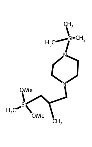 CO[Si](C)(CC(C)CN1CCN([Si](C)(C)C)CC1)OC